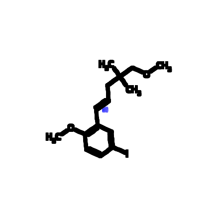 COCC(C)(C)C/C=C/c1cc(I)ccc1OC